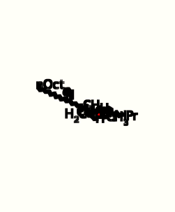 C=C(CC1CCC2(C)C(=CCC3[C@@H]2CCC2(C)C(CCCCC(C)C)CC[C@@H]32)C1)NC(C)C(=C)CCCCC(CCCCCCCCCC/C=C\CCCCCCCC)CN1CCCCC1